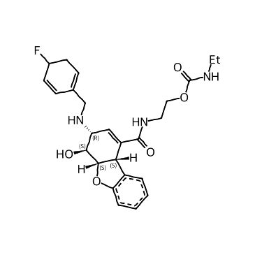 CCNC(=O)OCCNC(=O)C1=C[C@@H](NCC2=CCC(F)C=C2)[C@H](O)[C@H]2Oc3ccccc3[C@@H]12